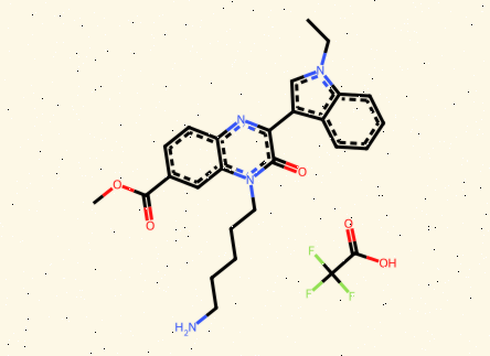 CCn1cc(-c2nc3ccc(C(=O)OC)cc3n(CCCCCN)c2=O)c2ccccc21.O=C(O)C(F)(F)F